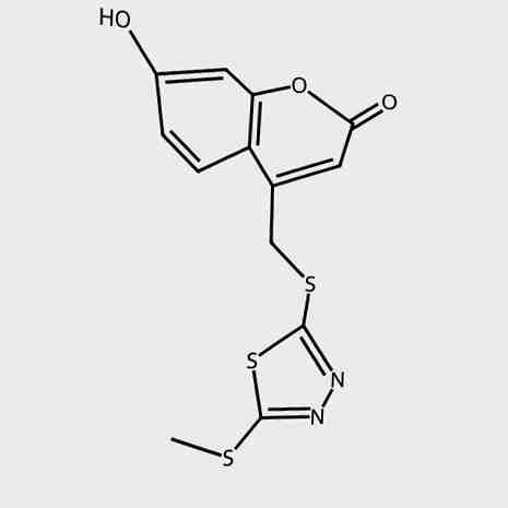 CSc1nnc(SCc2cc(=O)oc3cc(O)ccc23)s1